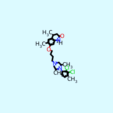 [2H]N1C(=O)CC(C)c2cc(C)c(OCCCCN3CC(C)N(c4ccc(C)c(Cl)c4Cl)C(C)C3)cc21